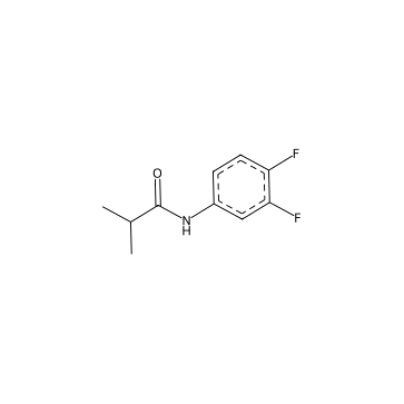 CC(C)C(=O)Nc1ccc(F)c(F)c1